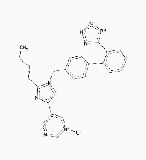 CCCCc1nc(-c2cnc[n+]([O-])c2)cn1Cc1ccc(-c2ccccc2-c2nnn[nH]2)cc1